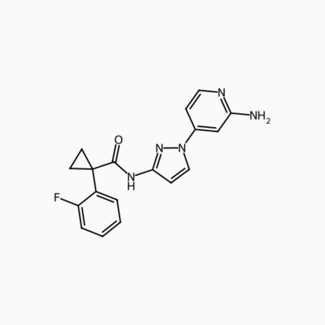 Nc1cc(-n2ccc(NC(=O)C3(c4ccccc4F)CC3)n2)ccn1